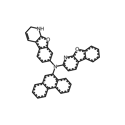 C1=Cc2c(oc3cc(N(c4ccc5c(n4)oc4ccccc45)c4cc5ccccc5c5ccccc45)ccc23)NC1